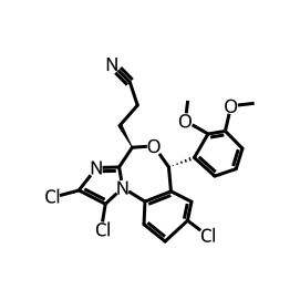 COc1cccc([C@H]2O[C@H](CCC#N)c3nc(Cl)c(Cl)n3-c3ccc(Cl)cc32)c1OC